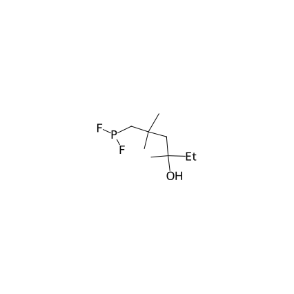 CCC(C)(O)CC(C)(C)CP(F)F